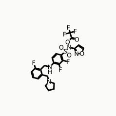 O=C(ON(c1ccon1)S(=O)(=O)c1ccc(NCc2c(F)cccc2CN2CCCC2)c(F)c1F)C(F)(F)F